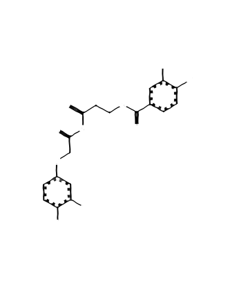 C=C(CCNC(=O)c1ccc(Cl)c(F)c1)NC(=O)COc1ccc(Cl)c(Cl)c1